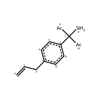 C=CCc1ccc(C([SiH3])(C(C)=O)C(C)=O)cc1